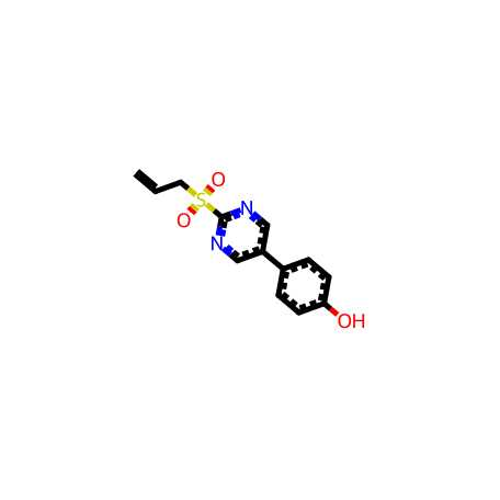 C=CCS(=O)(=O)c1ncc(-c2ccc(O)cc2)cn1